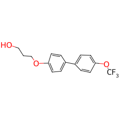 OCCCOc1ccc(-c2ccc(OC(F)(F)F)cc2)cc1